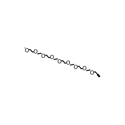 C#CCOCCOCCOCCOCCOCCOCCOCCOCCOC